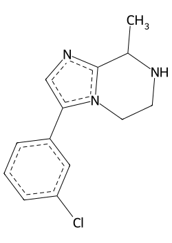 CC1NCCn2c(-c3cccc(Cl)c3)cnc21